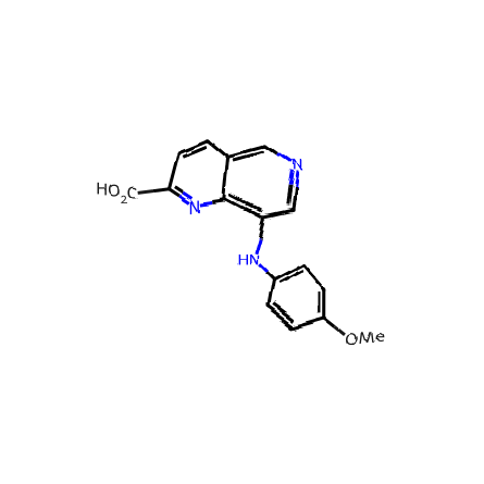 COc1ccc(Nc2cncc3ccc(C(=O)O)nc23)cc1